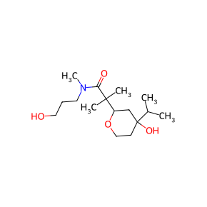 CC(C)C1(O)CCOC(C(C)(C)C(=O)N(C)CCCO)C1